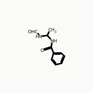 CC(NC=O)NC(=O)c1ccccc1